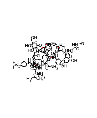 CN[C@H](CC(C)C)C(=O)N[C@H]1C(=O)N[C@@H](CC(N)=O)C(=O)N[C@H]2C(=O)N[C@H]3C(=O)N[C@H](C(=O)N[C@@H](C(=O)NOCC(=O)NC#N)c4cc(O)cc(O)c4-c4cc3ccc4O)[C@H](O)c3ccc(c(Cl)c3)Oc3cc2cc(c3O[C@@H]2O[C@H](CO)[C@@H](O)[C@H](O)[C@H]2O[C@H]2C[C@](C)(NCCC3CCN(C(=O)Nc4ccc(OC(F)(F)F)cc4)CC3)[C@H](O)[C@H](C)O2)Oc2ccc(cc2Cl)[C@H]1O